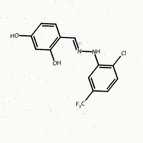 Oc1ccc(/C=N/Nc2cc(C(F)(F)F)ccc2Cl)c(O)c1